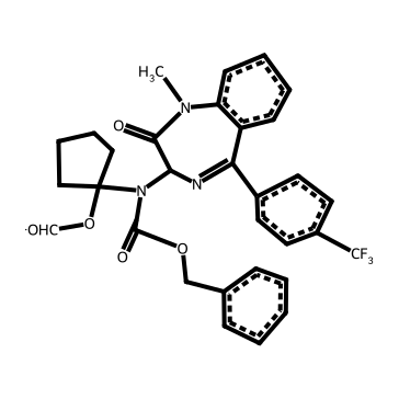 CN1C(=O)C(N(C(=O)OCc2ccccc2)C2(O[C]=O)CCCC2)N=C(c2ccc(C(F)(F)F)cc2)c2ccccc21